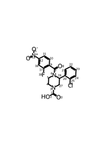 O=C(O)N1CCN(C(=O)c2ccc([N+](=O)[O-])cc2F)C(c2ccccc2Cl)C1